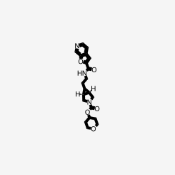 O=C(NCCC1[C@H]2CN(C(=O)OC3CCOCC3)C[C@@H]12)c1cc2ccncc2o1